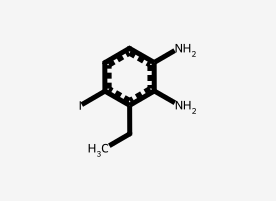 CCc1c(I)ccc(N)c1N